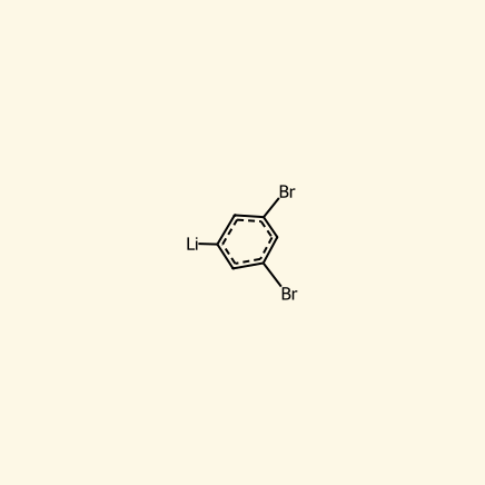 [Li][c]1cc(Br)cc(Br)c1